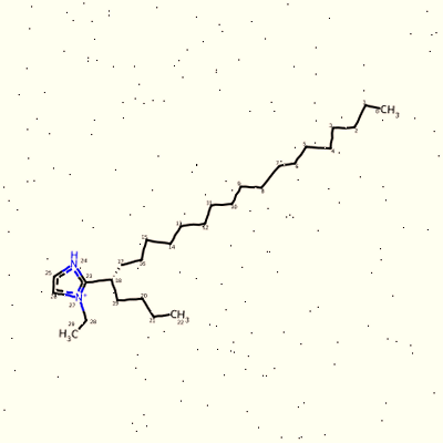 CCCCCCCCCCCCCCCCCC[C@H](CCCC)c1[nH]cc[n+]1CC